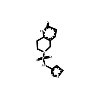 O=c1ccc2c([nH]1)CCN(S(=O)(=O)Nc1ccon1)C2